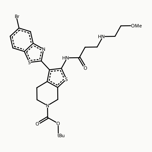 COCCNCCC(=O)Nc1sc2c(c1-c1nc3cc(Br)ccc3s1)CCN(C(=O)OC(C)(C)C)C2